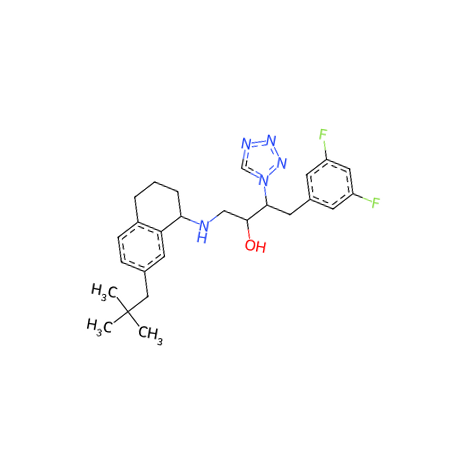 CC(C)(C)Cc1ccc2c(c1)C(NCC(O)C(Cc1cc(F)cc(F)c1)n1cnnn1)CCC2